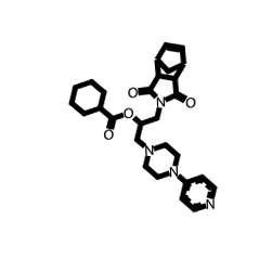 O=C(OC(CN1CCN(c2ccncc2)CC1)CN1C(=O)C2C3C=CC(C3)C2C1=O)C1CCCCC1